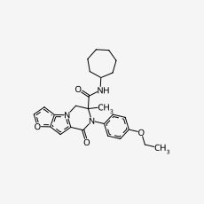 CCOc1ccc(N2C(=O)c3cc4occc4n3CC2(C)C(=O)NC2CCCCCC2)cc1